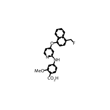 COc1cc(Nc2cc(Oc3ccc(CF)c4ccccc34)ccn2)ccc1C(=O)O